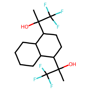 CC(O)(C1CCC(C(C)(O)C(F)(F)F)C2CCCCC21)C(F)(F)F